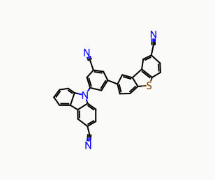 N#Cc1cc(-c2ccc3sc4ccc(C#N)cc4c3c2)cc(-n2c3ccccc3c3cc(C#N)ccc32)c1